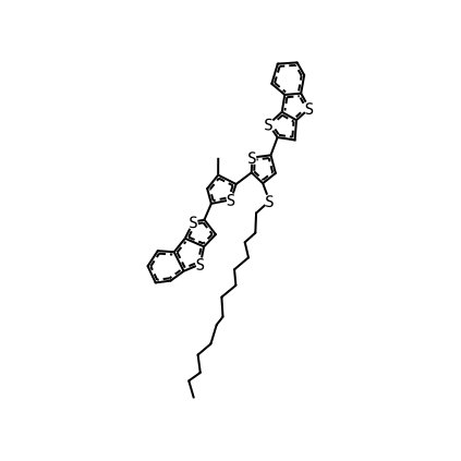 CCCCCCCCCCCCCCSc1cc(-c2cc3sc4ccccc4c3s2)sc1-c1sc(-c2cc3sc4ccccc4c3s2)cc1C